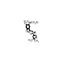 CCOC(=O)N(C)c1cc2c(CS(=O)(=O)C3=NOC(C)(C)C3)noc2cc1F